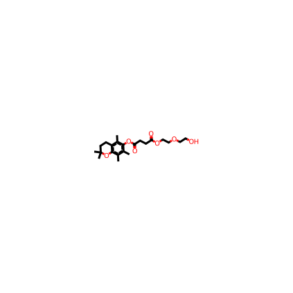 Cc1c(C)c2c(c(C)c1OC(=O)CCC(=O)OCCOCCO)CCC(C)(C)O2